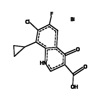 O=C(O)c1c[nH]c2c(C3CC3)c(Cl)c(F)cc2c1=O.[B]